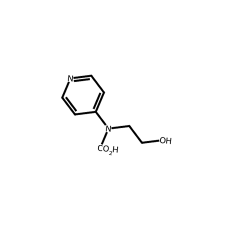 O=C(O)N(CCO)c1ccncc1